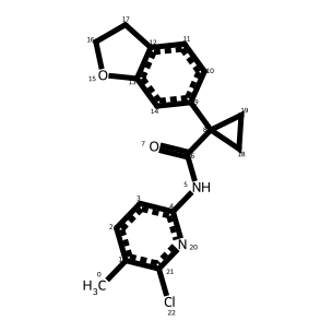 Cc1ccc(NC(=O)C2(c3ccc4c(c3)OCC4)CC2)nc1Cl